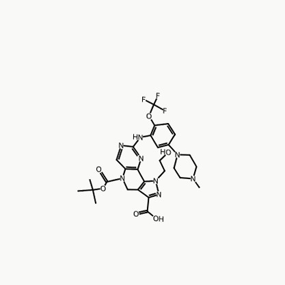 CN1CCN(c2ccc(OC(F)(F)F)c(Nc3ncc4c(n3)-c3c(c(C(=O)O)nn3CCO)CN4C(=O)OC(C)(C)C)c2)CC1